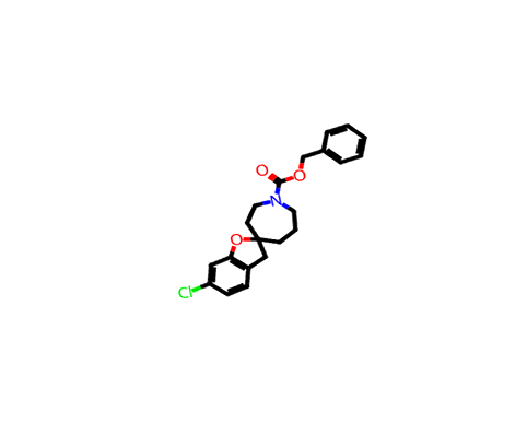 O=C(OCc1ccccc1)N1CCCC2(CC1)Cc1ccc(Cl)cc1O2